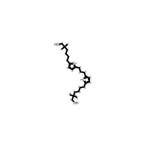 CC(C)(CO)CCCCc1ccc(CCCc2ccc(CCCCC(C)(C)CO)s2)s1